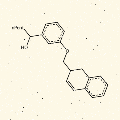 CCCCCC(O)c1cccc(OCC2C=Cc3ccccc3C2)c1